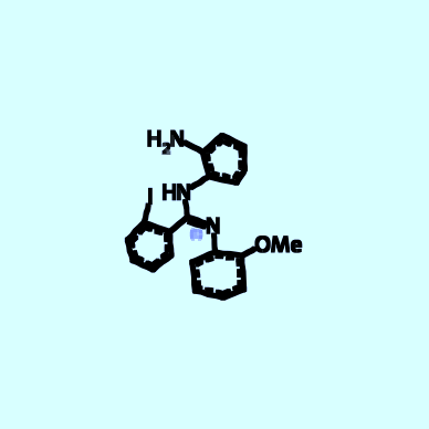 COc1ccccc1/N=C(/Nc1ccccc1N)c1ccccc1I